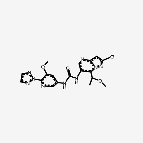 COc1cc(NC(=O)Nc2cnc3cc(Cl)nn3c2C(C)OC)cnc1-n1nccn1